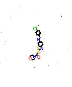 O=C(CSc1nc2ccc(/N=C/c3ccc(Cl)cc3)cc2s1)N1CCOCC1